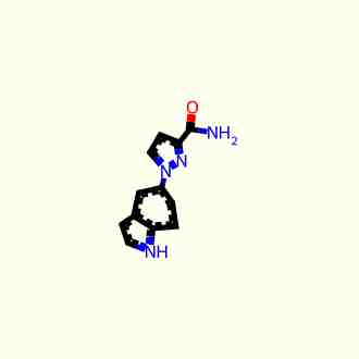 NC(=O)c1ccn(-c2ccc3[nH]ccc3c2)n1